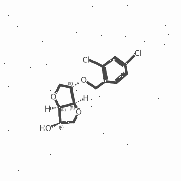 O[C@@H]1CO[C@H]2[C@@H]1OC[C@@H]2OCc1ccc(Cl)cc1Cl